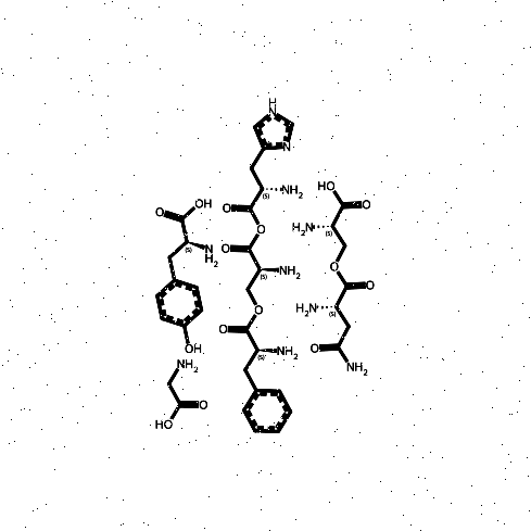 NC(=O)C[C@H](N)C(=O)OC[C@H](N)C(=O)O.NCC(=O)O.N[C@@H](Cc1ccc(O)cc1)C(=O)O.N[C@@H](Cc1ccccc1)C(=O)OC[C@H](N)C(=O)OC(=O)[C@@H](N)Cc1c[nH]cn1